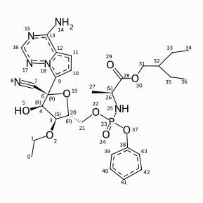 CCO[C@H]1[C@@H](O)[C@](C#N)(c2ccc3c(N)ncnn23)O[C@@H]1COP(=O)(N[C@@H](C)C(=O)OCC(CC)CC)Oc1ccccc1